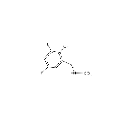 O=S(=O)(O)NCc1cc(I)cc(I)c1O